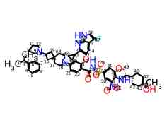 CC(C)c1ccccc1[C@@H]1CCCN1C1CC2(CCN(c3ccc(C(=O)NS(=O)(=O)c4cc5c(c([N+](=O)[O-])c4)N[C@@H]([C@H]4CC[C@](C)(O)CC4)CO5)c(Oc4cc5c(F)c[nH]c5nc4C4CC4)c3)CC2)C1